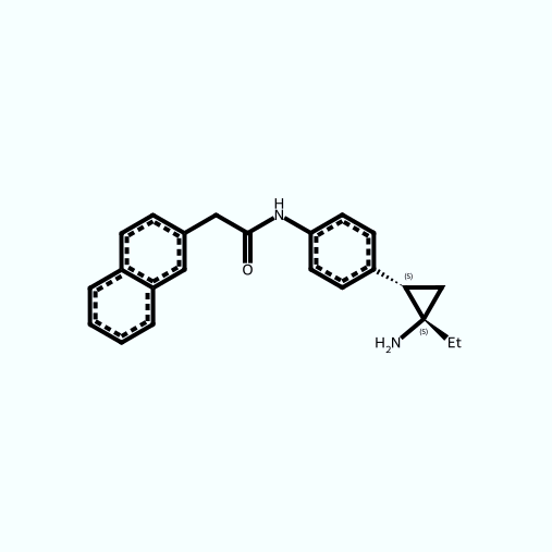 CC[C@]1(N)C[C@H]1c1ccc(NC(=O)Cc2ccc3ccccc3c2)cc1